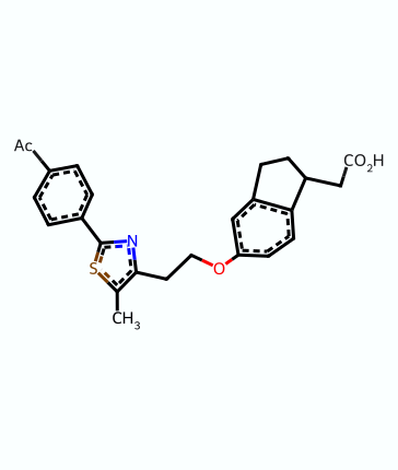 CC(=O)c1ccc(-c2nc(CCOc3ccc4c(c3)CCC4CC(=O)O)c(C)s2)cc1